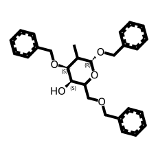 CC1[C@H](OCc2ccccc2)OC(COCc2ccccc2)[C@@H](O)[C@H]1OCc1ccccc1